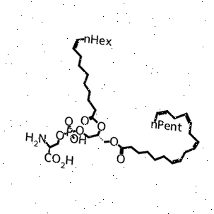 CCCCC/C=C\C/C=C\C/C=C\C/C=C\CCCCCC(=O)OC[C@H](COP(=O)(O)OC[C@H](N)C(=O)O)OC(=O)CCCCCCC/C=C\CCCCCC